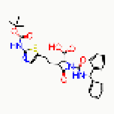 CC(C)(C)OC(=O)Nc1ncc(CCC2C(=O)N(C(=O)NC(c3ccccc3)c3ccccc3)C2C(=O)O)s1